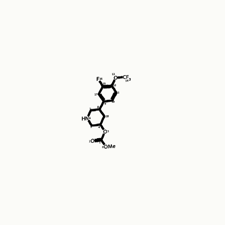 COC(=O)OC1CNCC(c2ccc(OC(F)(F)F)c(F)c2)C1